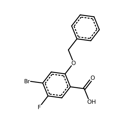 O=C(O)c1cc(F)c(Br)cc1OCc1ccccc1